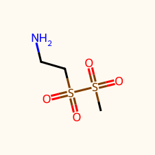 CS(=O)(=O)S(=O)(=O)CCN